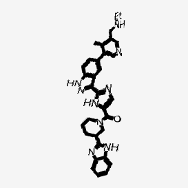 CCNCc1cncc(-c2ccc3[nH]nc(-c4ncc(C(=O)N5CCCC(c6nc7ccccc7[nH]6)C5)[nH]4)c3c2)c1C